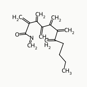 C=NC(=O)C(=C)C(=C)C(=C)C(=C)C(=C)C(=C)CCCC